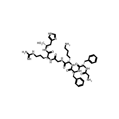 N=C(N)NCCC[C@H](NC(=O)CNC(=O)[C@H](CCCCN)NC(=O)[C@H](Cc1ccccc1)NC(=O)[C@H](Cc1ccccc1)NC(=O)CN)C(=O)N[C@@H](Cc1c[nH]cn1)C(=O)O